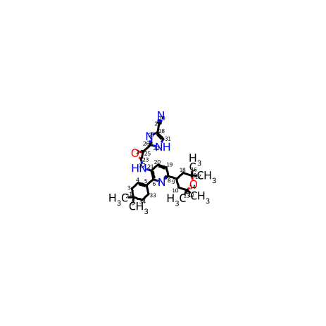 CC1(C)CC=C(c2nc(C3CC(C)(C)OC(C)(C)C3)ccc2NC2OC2c2nc(C#N)c[nH]2)CC1